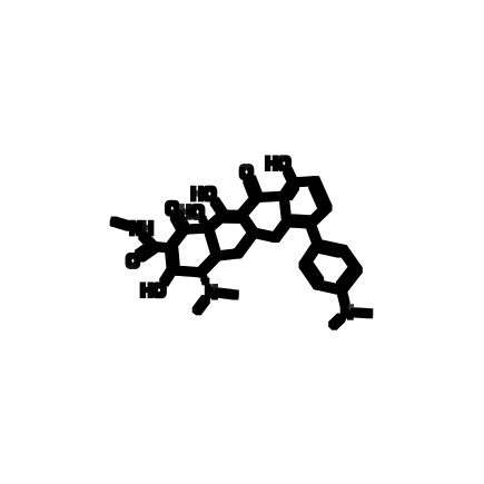 CNC(=O)C1=C(O)[C@@H](N(C)C)C2CC3Cc4c(-c5ccc(N(C)C)cc5)ccc(O)c4C(=O)C3=C(O)[C@]2(O)C1=O